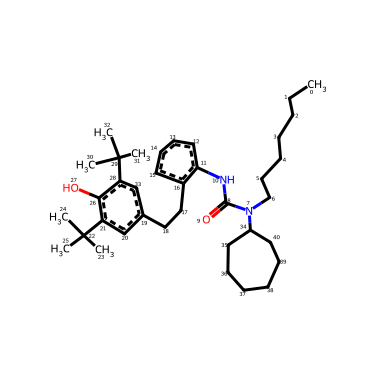 CCCCCCCN(C(=O)Nc1ccccc1CCc1cc(C(C)(C)C)c(O)c(C(C)(C)C)c1)C1CCCCCC1